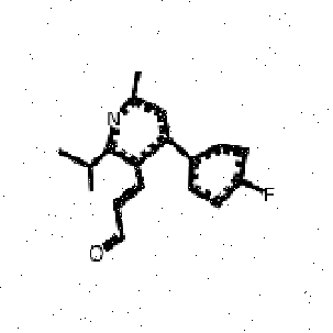 Cc1cc(-c2ccc(F)cc2)c(/C=C/C=O)c(C(C)C)n1